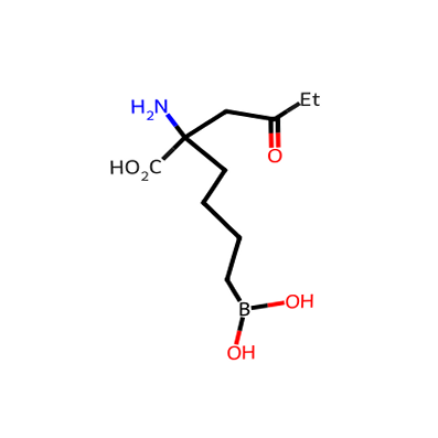 CCC(=O)CC(N)(CCCCB(O)O)C(=O)O